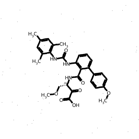 COC[C@H](NC(=O)c1c(NC(=O)Nc2c(C)cc(C)cc2C)cccc1-c1ccc(OC)cc1)C(=O)C(=O)O